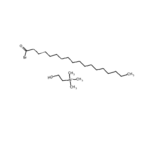 CCCCCCCCCCCCCCCCCC(=O)Br.C[N+](C)(C)CCO